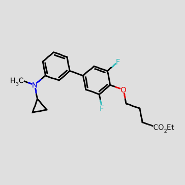 CCOC(=O)CCCOc1c(F)cc(-c2cccc(N(C)C3CC3)c2)cc1F